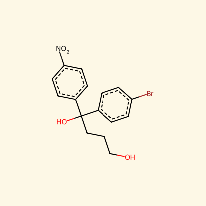 O=[N+]([O-])c1ccc(C(O)(CCCO)c2ccc(Br)cc2)cc1